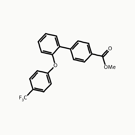 COC(=O)c1ccc(-c2ccccc2Oc2ccc(C(F)(F)F)cc2)cc1